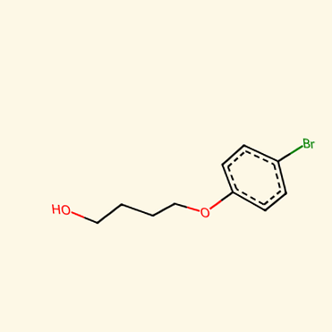 OCCCCOc1ccc(Br)cc1